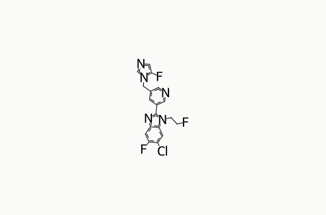 FCCn1c(-c2cncc(Cn3cncc3F)c2)nc2cc(F)c(Cl)cc21